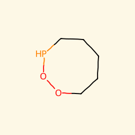 C1CCOOPCC1